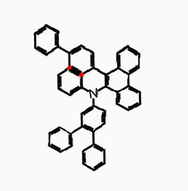 c1ccc(-c2ccc(-c3c(N(c4ccccc4)c4ccc(-c5ccccc5)c(-c5ccccc5)c4)c4ccccc4c4ccccc34)cc2)cc1